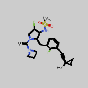 C=C(N1CCC1)N1CC(F)C(NS(C)(=O)=O)C1Cc1cccc(C#CC2(C)CC2)c1F